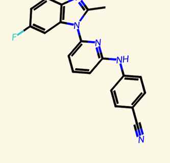 Cc1nc2ccc(F)cc2n1-c1cccc(Nc2ccc(C#N)cc2)n1